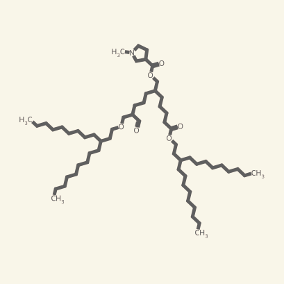 CCCCCCCCCC(CCCCCCCCC)CCOCC(C=O)CCCC(CCCCC(=O)OCCC(CCCCCCCCC)CCCCCCCCC)COC(=O)C1CCN(C)C1